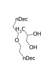 CC(O)CO.CCCCCCCCCCCCOCCCCCCCCCCCC